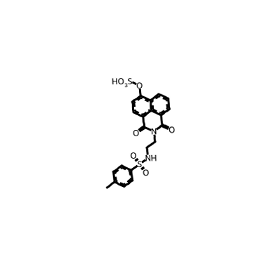 Cc1ccc(S(=O)(=O)NCCN2C(=O)c3cccc4c(OS(=O)(=O)O)ccc(c34)C2=O)cc1